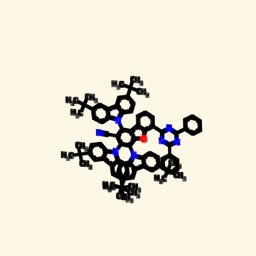 CC(C)(C)c1ccc2c(c1)c1cc(C(C)(C)C)ccc1n2-c1c(C#N)c(-n2c3ccc(C(C)(C)C)cc3c3cc(C(C)(C)C)ccc32)c2c(oc3c(-c4nc(-c5ccccc5)nc(-c5ccccc5)n4)cccc32)c1-n1c2ccc(C(C)(C)C)cc2c2cc(C(C)(C)C)ccc21